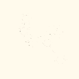 CCc1nc(N2C[C@@H](Oc3ncc(C#Cc4cccnc4C)cc3N3CCOC4(COC4)[C@@H]3C)C[C@H]2C(=O)O)c2oc3ccccc3c2n1